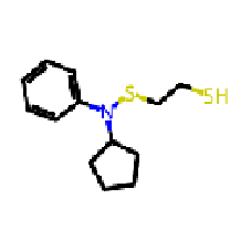 SCCSN(c1ccccc1)C1CCCC1